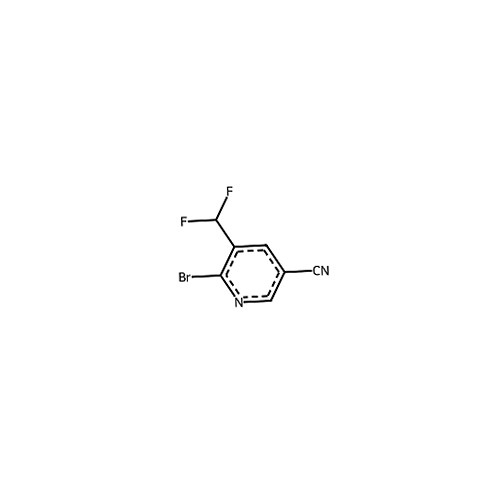 N#Cc1cnc(Br)c(C(F)F)c1